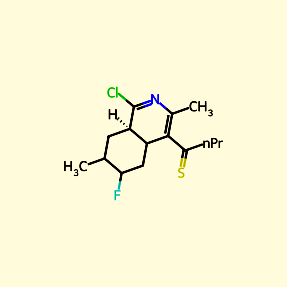 CCCC(=S)C1=C(C)N=C(Cl)[C@@H]2CC(C)C(F)CC12